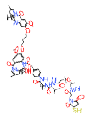 COc1cc2c(cc1OCCCCCOc1cc3c(cc1OC)C(=O)N1C=C(C)C[C@H]1[C@H](O)N3C(=O)OCc1ccc(NC(=O)[C@H](C)NC(=O)C(NC(=O)CC(C)(C)OC(C)CNC(=O)CCN3C(=O)CC(S)C3=O)C(C)C)cc1)N=C[C@@H]1CC(C)=CN1C2=O